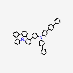 c1ccc(-c2ccc(-c3ccc(N(c4ccc(-c5ccccc5)cc4)c4cccc(-c5cccc6c5c5cccc(-c7ccccc7)c5n6-c5ccccc5)c4)cc3)cc2)cc1